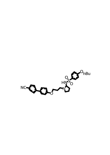 CCCCOc1ccc(S(=O)(=O)NC2CCCN2CCCOc2ccc(-c3ccc(C#N)cc3)cc2)cc1